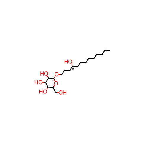 CCCCCCCCC[C@@H](O)CCCOC1OC(CO)C(O)C(O)C1O